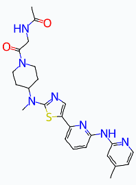 CC(=O)NCC(=O)N1CCC(N(C)c2ncc(-c3cccc(Nc4cc(C)ccn4)n3)s2)CC1